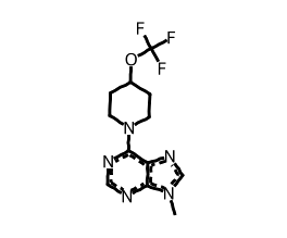 Cn1cnc2c(N3CCC(OC(F)(F)F)CC3)ncnc21